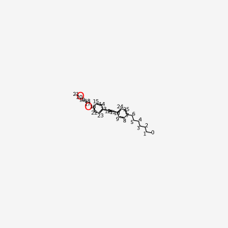 CCCCCCCc1ccc(C#Cc2ccc(OCCOC)cc2)cc1